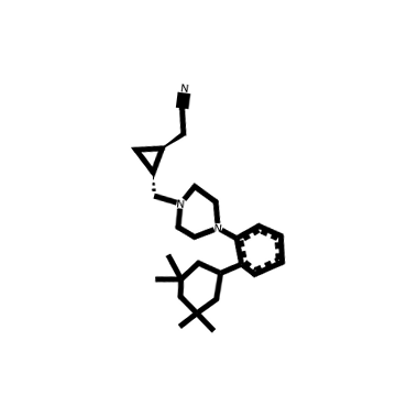 CC1(C)CC(c2ccccc2N2CCN(C[C@@H]3C[C@H]3CC#N)CC2)CC(C)(C)C1